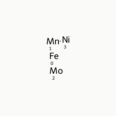 [Fe].[Mn].[Mo].[Ni]